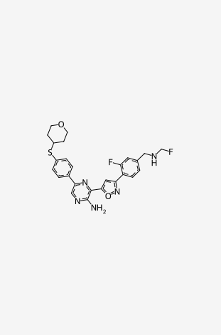 Nc1ncc(-c2ccc(SC3CCOCC3)cc2)nc1-c1cc(-c2ccc(CNCF)cc2F)no1